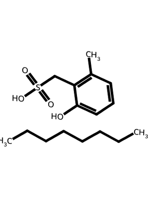 CCCCCCCC.Cc1cccc(O)c1CS(=O)(=O)O